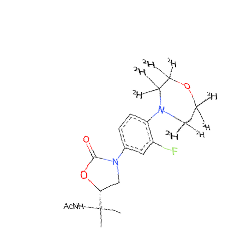 [2H]C1([2H])OC([2H])([2H])C([2H])([2H])N(c2ccc(N3C[C@H](C(C)(C)NC(C)=O)OC3=O)cc2F)C1([2H])[2H]